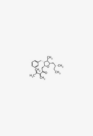 C=C(C)C(=C)C(=O)C[C@@H]1O[C@H](C[C@H](C)CC)[C@H](C)[C@H]1Cc1ccccc1